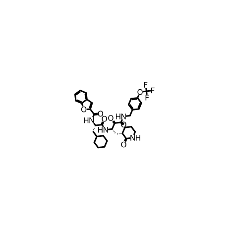 O=C(NCc1ccc(OC(F)(F)F)cc1)C(=O)[C@H](C[C@@H]1CCCNC1=O)NC(=O)[C@H](CC1CCCCC1)NC(=O)c1cc2ccccc2o1